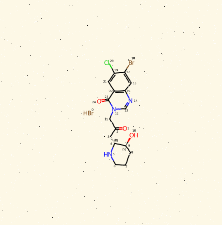 Br.O=C(C[C@H]1NCCC[C@@H]1O)Cn1cnc2cc(Br)c(Cl)cc2c1=O